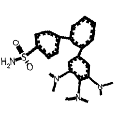 CN(C)c1cc(-c2ccccc2-c2ccc(S(N)(=O)=O)cc2)cc(N(C)C)c1N(C)C